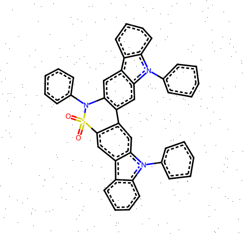 O=S1(=O)c2cc3c4ccccc4n(-c4ccccc4)c3cc2-c2cc3c(cc2N1c1ccccc1)c1ccccc1n3-c1ccccc1